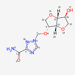 NC(=O)c1ncn(CO[C@@H]2CO[C@H]3[C@@H]2OC[C@@H]3O)n1